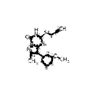 C#CCSc1nc2c(-c3cccc(OC)c3)c(C)nn2c(=O)[nH]1